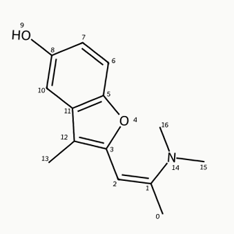 C/C(=C/c1oc2ccc(O)cc2c1C)N(C)C